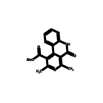 COC(=O)c1c(C)nc(C)c2c(=O)[nH]c3ccccc3c12